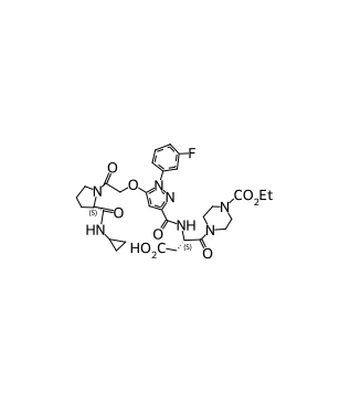 CCOC(=O)N1CCN(C(=O)[C@H](CC(=O)O)NC(=O)c2cc(OCC(=O)N3CCC[C@H]3C(=O)NC3CC3)n(-c3cccc(F)c3)n2)CC1